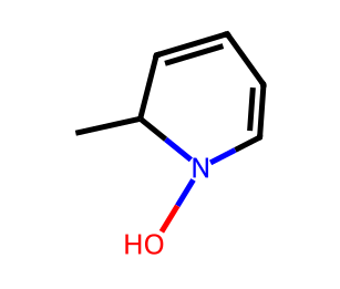 CC1C=CC=CN1O